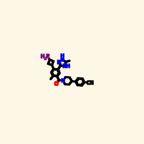 Cc1cc(C2CC(P)C2)c(C2=NNC(C)N2)cc1C(=O)N1CCC(c2ccc(C#N)cc2)CC1